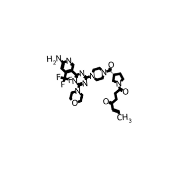 C/C=C/C(=O)CCC(=O)N1CC[C@@H](C(=O)N2CCN(c3nc(-c4cnc(N)cc4C(F)(F)F)nc(N4CCOCC4)n3)CC2)C1